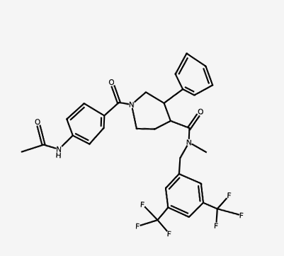 CC(=O)Nc1ccc(C(=O)N2CCC(C(=O)N(C)Cc3cc(C(F)(F)F)cc(C(F)(F)F)c3)C(c3ccccc3)C2)cc1